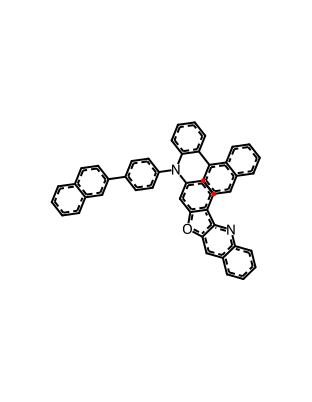 c1ccc(N(c2ccc(-c3ccc4ccccc4c3)cc2)c2ccc3c(c2)oc2cc4ccccc4nc23)c(-c2cccc3ccccc23)c1